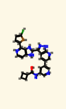 O=C(Nc1cncc(-c2cnc3[nH]nc(-c4nc5c(-c6ccc(F)s6)nccc5[nH]4)c3c2)c1)C1CCC1